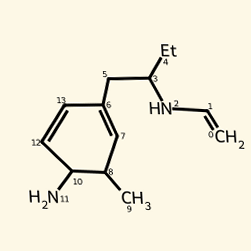 C=CNC(CC)CC1=CC(C)C(N)C=C1